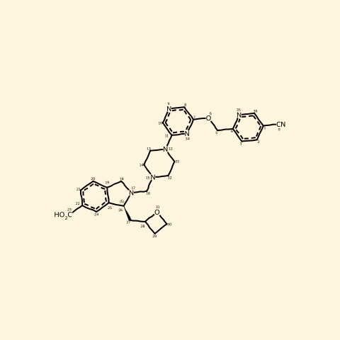 N#Cc1ccc(COc2cncc(N3CCN(CN4Cc5ccc(C(=O)O)cc5[C@@H]4CC4CCO4)CC3)n2)nc1